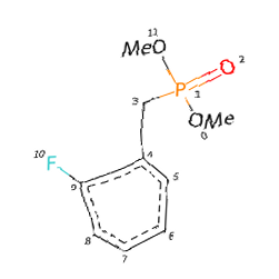 COP(=O)(Cc1ccccc1F)OC